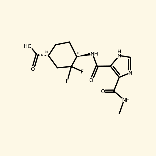 CNC(=O)c1nc[nH]c1C(=O)N[C@@H]1CC[C@@H](C(=O)O)CC1(F)F